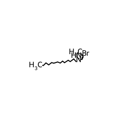 CCCCCCCCCCCCCCN1C=CC(C)(Br)N1